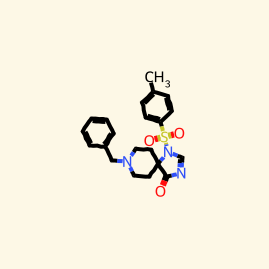 Cc1ccc(S(=O)(=O)N2C=NC(=O)C23CCN(Cc2ccccc2)CC3)cc1